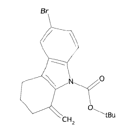 C=C1CCCc2c1n(C(=O)OC(C)(C)C)c1ccc(Br)cc21